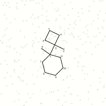 CC1(C2(C)CCC2)CCCCC1